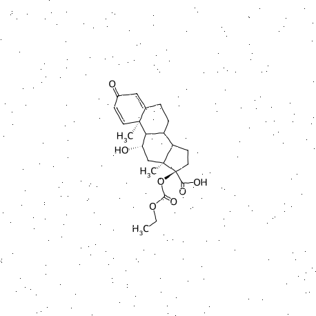 CCOC(=O)O[C@]1(C(=O)O)CCC2C3CCC4=CC(=O)C=C[C@]4(C)C3[C@@H](O)C[C@@]21C